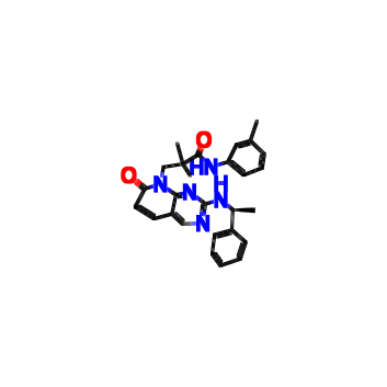 Cc1cccc(NC(=O)C(C)(C)Cn2c(=O)ccc3cnc(N[C@@H](C)c4ccccc4)nc32)c1